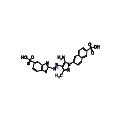 Cc1nn(-c2ccc3cc(S(=O)(=O)O)ccc3c2)c(N)c1/N=N/c1nc2cc(S(=O)(=O)O)ccc2s1